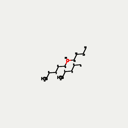 BCCCC.BCCCCOCCCC